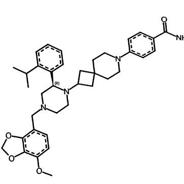 COc1ccc(CN2CCN(C3CC4(CCN(c5ccc(C(N)=O)cc5)CC4)C3)[C@H](c3ccccc3C(C)C)C2)c2c1OCO2